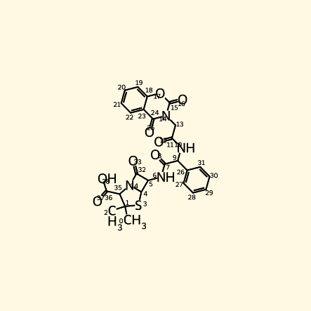 CC1(C)SC2C(NC(=O)C(NC(=O)Cn3c(=O)oc4ccccc4c3=O)c3ccccc3)C(=O)N2C1C(=O)O